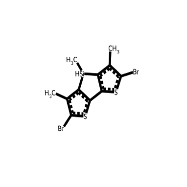 Cc1c(Br)sc2c1[SiH](C)c1c-2sc(Br)c1C